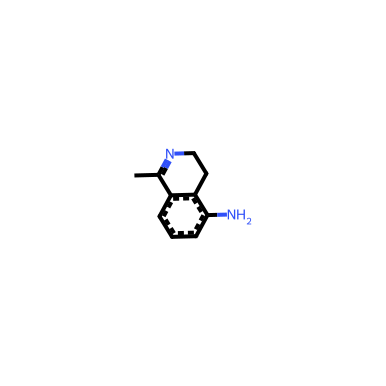 CC1=NCCc2c(N)cccc21